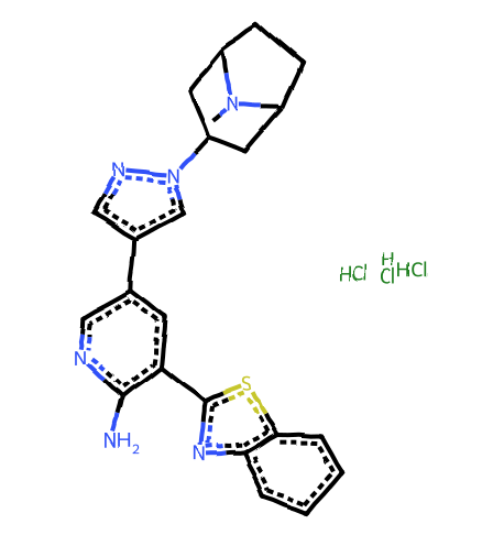 CN1C2CCC1CC(n1cc(-c3cnc(N)c(-c4nc5ccccc5s4)c3)cn1)C2.Cl.Cl.Cl